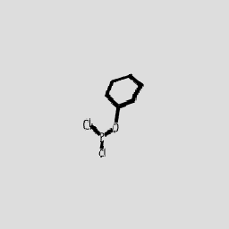 ClP(Cl)OC1CCCCC1